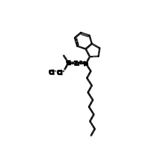 CCCCCCCCCC[N]([Zr+2]=[Si](C)C)C1CCC2C=CC=CC21.[Cl-].[Cl-]